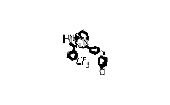 O=C1NCC(c2cccc(C(F)(F)F)c2)N1CC(c1ccc(Oc2ccc(Cl)cc2)cc1)N1CCCCC1